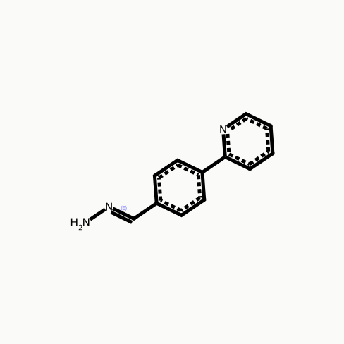 N/N=C/c1ccc(-c2ccccn2)cc1